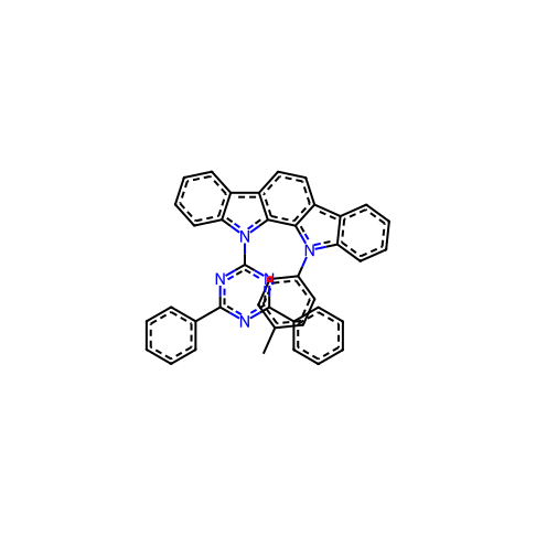 Cc1ccc(-n2c3ccccc3c3ccc4c5ccccc5n(-c5nc(-c6ccccc6)nc(-c6ccccc6)n5)c4c32)cc1